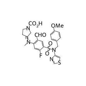 COc1ccc(CN(c2cscn2)S(=O)(=O)c2cc(C=O)c(N(C)[C@H]3CCN(C(=O)O)C3)cc2F)cc1